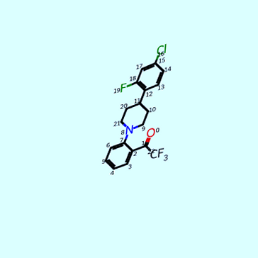 O=C(c1ccccc1N1CCC(c2ccc(Cl)cc2F)CC1)C(F)(F)F